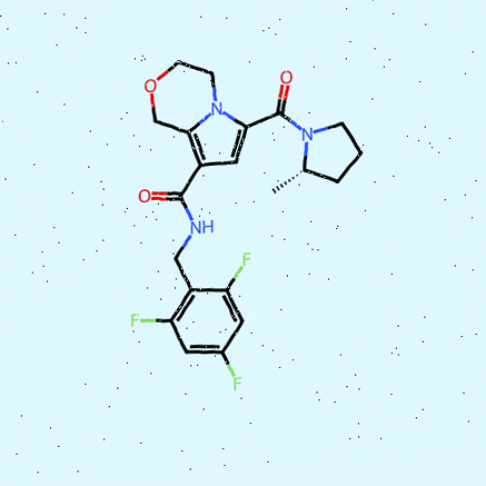 C[C@H]1CCCN1C(=O)c1cc(C(=O)NCc2c(F)cc(F)cc2F)c2n1CCOC2